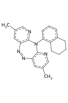 Cc1cnc2c(c1)N=Nc1cc(C)cnc1N2c1cccc2c1CCCC2